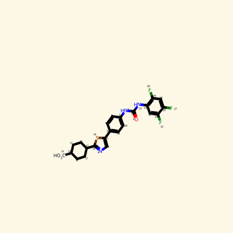 O=C(Nc1ccc(-c2cnc(C3CCC(C(=O)O)CC3)s2)cc1)Nc1cc(F)c(F)cc1F